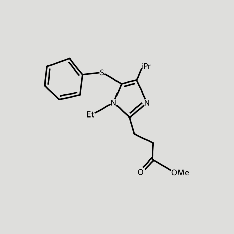 CCn1c(CCC(=O)OC)nc(C(C)C)c1Sc1ccccc1